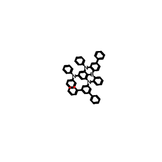 c1ccc(-c2cc(-c3ccccc3)cc(N3c4ccccc4B4c5ccc(-c6ccccc6)cc5N(c5ccccc5)c5cc(N(c6ccccc6)c6ccccc6)cc3c54)c2)cc1